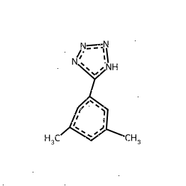 Cc1cc(C)cc(-c2nnn[nH]2)c1